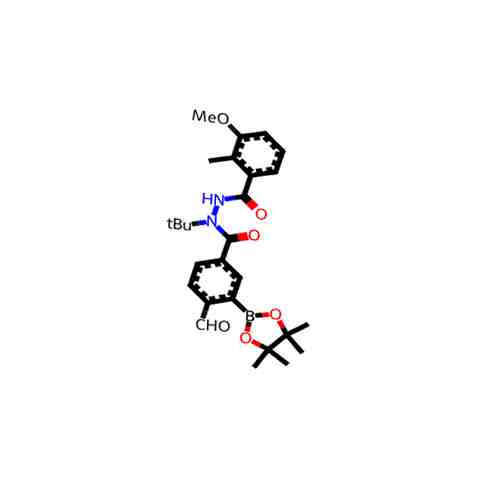 COc1cccc(C(=O)NN(C(=O)c2ccc(C=O)c(B3OC(C)(C)C(C)(C)O3)c2)C(C)(C)C)c1C